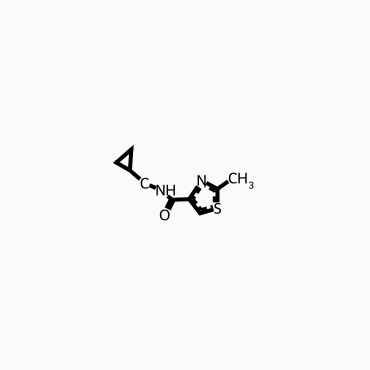 Cc1nc(C(=O)NCC2CC2)cs1